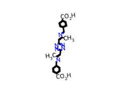 CC(=C\c1nnc(/C=C(C)/N=C/c2ccc(C(=O)O)cc2)nn1)/N=C/c1ccc(C(=O)O)cc1